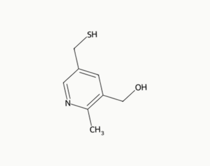 Cc1ncc(CS)cc1CO